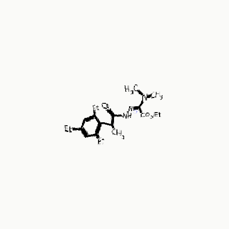 CCOC(=O)/C(=N\NC(=O)C(C)c1c(CC)cc(CC)cc1CC)N(C)C